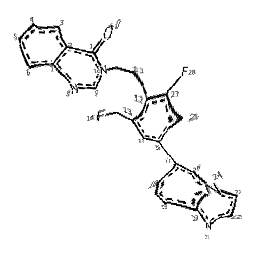 O=c1c2ccccc2ncn1Cc1c(F)cc(-c2ccc3nccn3c2)cc1F